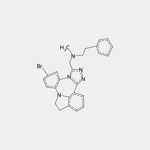 CN(CCc1ccccc1)Cc1nnc2n1-c1cc(Br)ccc1N1CCc3cccc-2c31